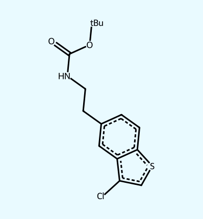 CC(C)(C)OC(=O)NCCc1ccc2scc(Cl)c2c1